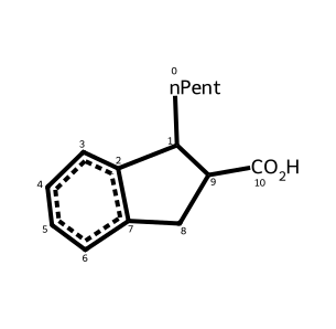 CCCCCC1c2ccccc2CC1C(=O)O